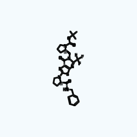 CC(C)(C)OC(=O)N1CCC[C@@H]1Cn1c(C(F)(F)F)nc2sc(N3CCC[C@@H]3C(=O)NCc3ccccc3)nc2c1=O